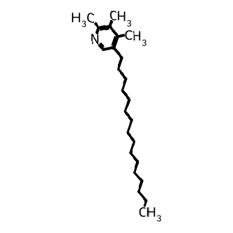 CCCCCCCCCCCCCCCCc1cnc(C)c(C)c1C